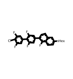 CCCCCCc1ccc2c(F)c(-c3cc(F)c(-c4cc(F)c(Cl)c(F)c4)c(F)c3)ccc2c1